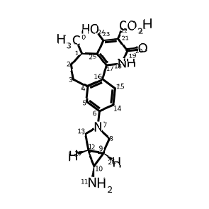 CC1CCc2cc(N3C[C@@H]4[C@@H](N)[C@@H]4C3)ccc2-c2[nH]c(=O)c(C(=O)O)c(O)c21